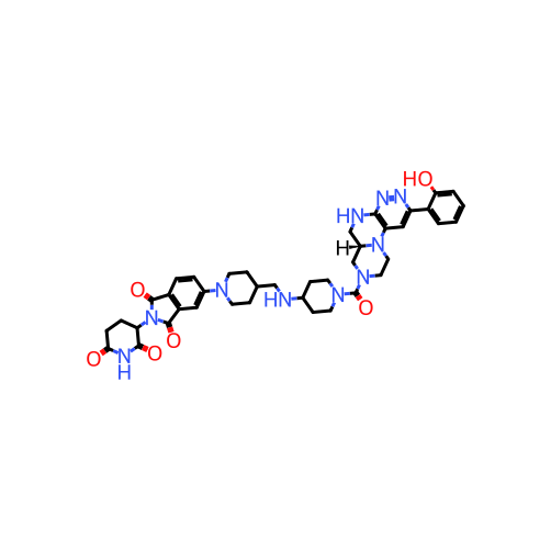 O=C1CCC(N2C(=O)c3ccc(N4CCC(CNC5CCN(C(=O)N6CCN7c8cc(-c9ccccc9O)nnc8NC[C@H]7C6)CC5)CC4)cc3C2=O)C(=O)N1